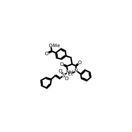 CCN(C(=O)C(Cc1ccc(C(=O)OC)cc1)C(=O)NS(=O)(=O)C=Cc1ccccc1)c1ccccc1